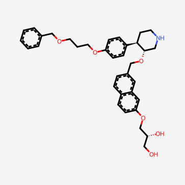 OC[C@@H](O)COc1ccc2ccc(CO[C@H]3CNCC[C@@H]3c3ccc(OCCCOCc4ccccc4)cc3)cc2c1